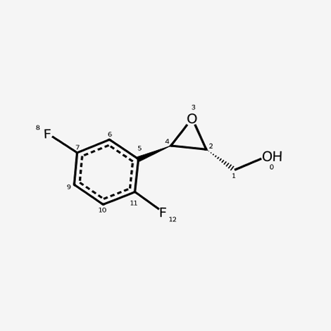 OC[C@H]1O[C@@H]1c1cc(F)ccc1F